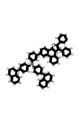 c1ccc(-c2oc3c4ccc(-c5cccc(N(c6ccc(-c7cccc8ccccc78)cc6)c6ccc(-c7cccc8ccccc78)cc6)c5)cc4c4ccccc4c3c2-c2ccccc2)cc1